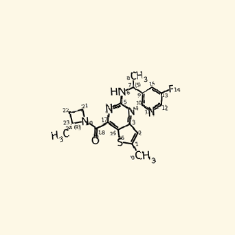 Cc1cc2nc(N[C@@H](C)c3cncc(F)c3)nc(C(=O)N3CC[C@H]3C)c2s1